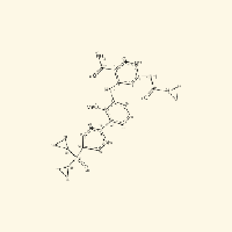 COc1c(Nc2cc(NC(=O)C3CC3)nnc2C(N)=O)cccc1-c1ncc(P(=O)(C2CC2)C2CC2)cn1